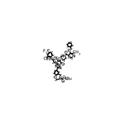 CCc1c(N2CCN(C(=O)c3ncnc(C)c3OCc3ccccc3)CC2)c(=O)n2nc(-c3ccc4c(c3)CN(C(=O)OC(C)(C)C)CCO4)nc2n1CC(=O)Nc1ccc(C(F)(F)F)cc1Cl